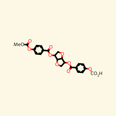 COC(=O)Oc1ccc(C(=O)OC2COC3C(OC(=O)c4ccc(OC(=O)O)cc4)COC23)cc1